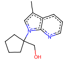 Cc1cn(C2(CO)CCCC2)c2ncccc12